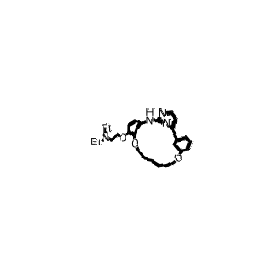 CCN(CC)CCOc1ccc2cc1OCC/C=C/CCOc1cccc(c1)-c1ccnc(n1)N2